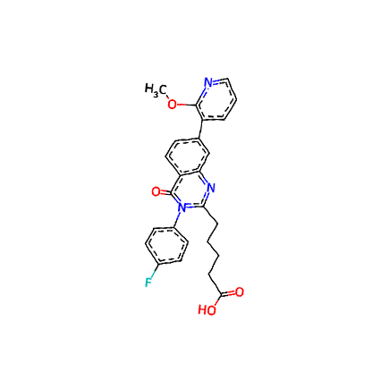 COc1ncccc1-c1ccc2c(=O)n(-c3ccc(F)cc3)c(CCCCC(=O)O)nc2c1